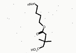 CCCCCCCCCCCCCOC(=O)CC(C)(C)CC(=O)O